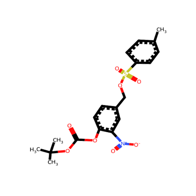 Cc1ccc(S(=O)(=O)OCc2ccc(OC(=O)OC(C)(C)C)c([N+](=O)[O-])c2)cc1